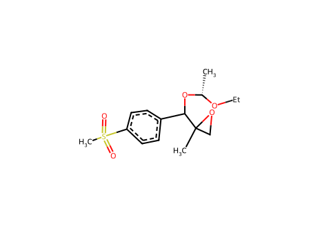 CCO[C@@H](C)OC(c1ccc(S(C)(=O)=O)cc1)C1(C)CO1